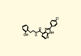 O=C(NCCc1ccccc1O)c1ccnc2[nH]c(-c3ccc(Cl)cc3)nc12